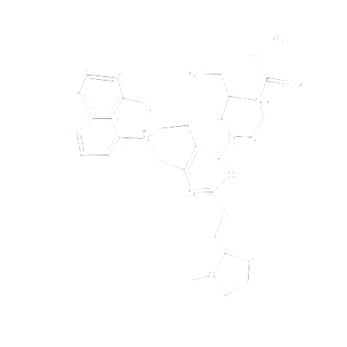 CN1CCCC1COc1nc2c(c(N3CCN(C(=O)OC(C)(C)C)C(CC#N)C3)n1)CCN(c1cccc3cccc(Cl)c13)C2